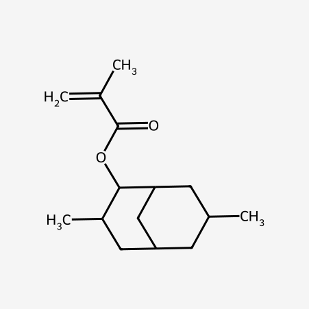 C=C(C)C(=O)OC1C(C)CC2CC(C)CC1C2